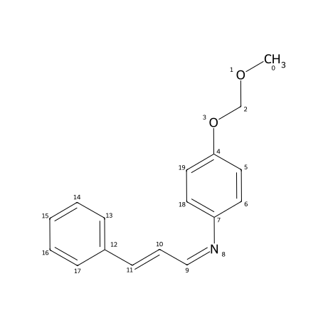 COCOc1ccc(/N=C\C=C\c2ccccc2)cc1